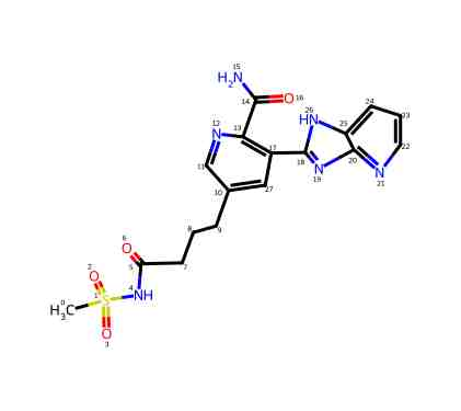 CS(=O)(=O)NC(=O)CCCc1cnc(C(N)=O)c(-c2nc3ncccc3[nH]2)c1